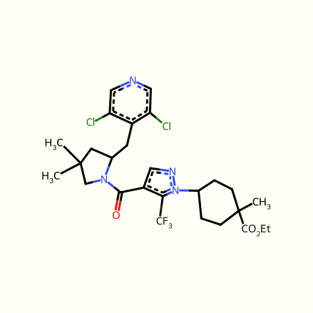 CCOC(=O)C1(C)CCC(n2ncc(C(=O)N3CC(C)(C)CC3Cc3c(Cl)cncc3Cl)c2C(F)(F)F)CC1